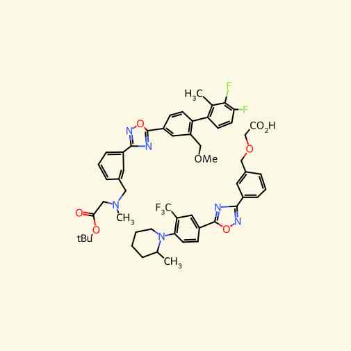 CC1CCCCN1c1ccc(-c2nc(-c3cccc(COCC(=O)O)c3)no2)cc1C(F)(F)F.COCc1cc(-c2nc(-c3cccc(CN(C)CC(=O)OC(C)(C)C)c3)no2)ccc1-c1ccc(F)c(F)c1C